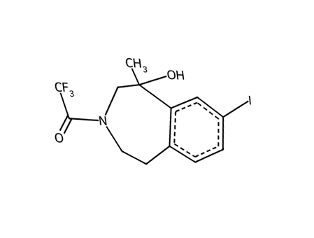 CC1(O)CN(C(=O)C(F)(F)F)CCc2ccc(I)cc21